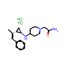 CC(=Cc1ccccc1)[C@@H]1C[C@H]1NC1CCN(CC(N)=O)CC1.Cl.Cl